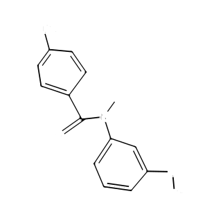 CC(C)Oc1cccc(N(C)C(=O)c2ccc(C(C)(C)C)cc2)c1